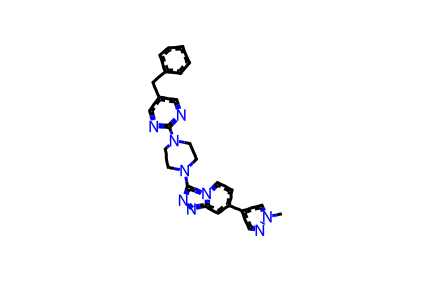 Cn1cc(-c2ccn3c(N4CCN(c5ncc(Cc6ccccc6)cn5)CC4)nnc3c2)cn1